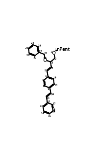 CCCCCOCC(C=Cc1ccc(C=Cc2cccnc2)cc1)OCc1ccccc1